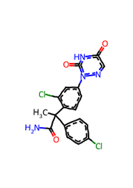 CC(C(N)=O)(c1ccc(Cl)cc1)c1ccc(-n2ncc(=O)[nH]c2=O)cc1Cl